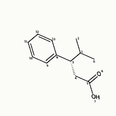 CC(C)[C@H](CC(=O)O)c1ccccc1